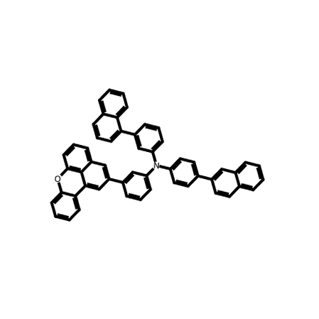 c1cc(-c2cc3c4c(cccc4c2)Oc2ccccc2-3)cc(N(c2ccc(-c3ccc4ccccc4c3)cc2)c2cccc(-c3cccc4ccccc34)c2)c1